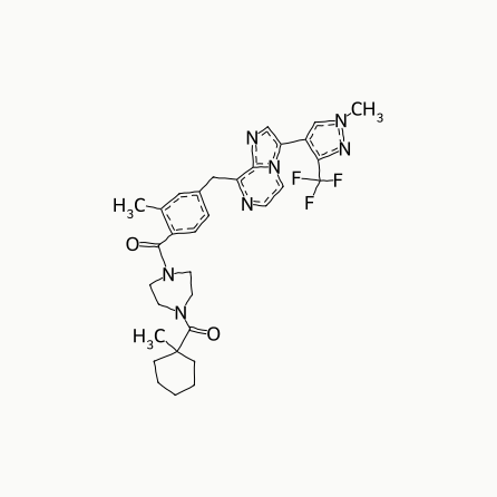 Cc1cc(Cc2nccn3c(-c4cn(C)nc4C(F)(F)F)cnc23)ccc1C(=O)N1CCN(C(=O)C2(C)CCCCC2)CC1